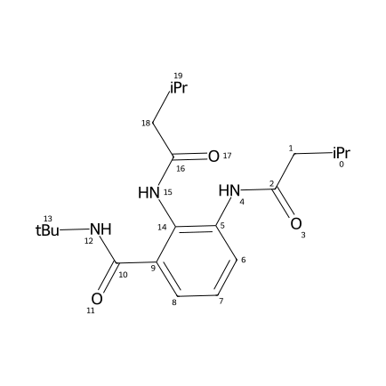 CC(C)CC(=O)Nc1cccc(C(=O)NC(C)(C)C)c1NC(=O)CC(C)C